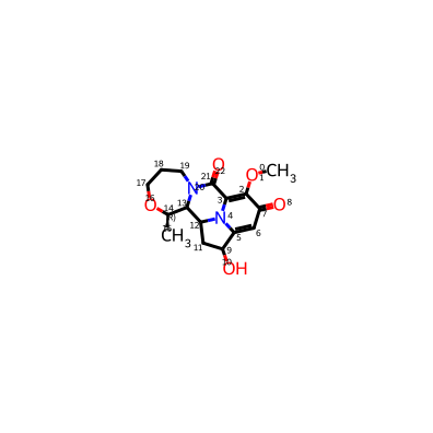 COc1c2n3c(cc1=O)C(O)CC3C1[C@@H](C)OCCCN1C2=O